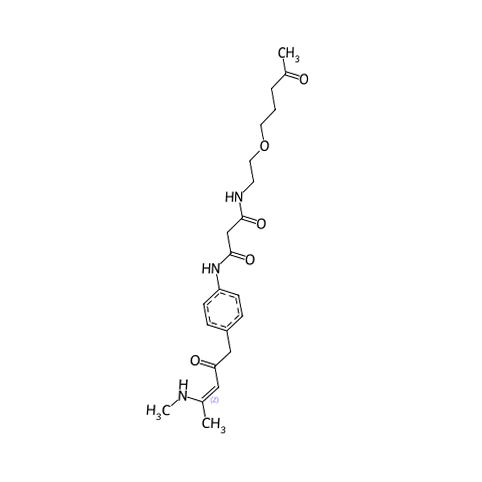 CN/C(C)=C\C(=O)Cc1ccc(NC(=O)CC(=O)NCCOCCCC(C)=O)cc1